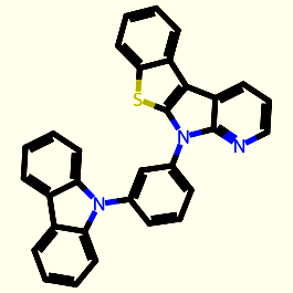 c1cc(-n2c3ccccc3c3ccccc32)cc(-n2c3ncccc3c3c4ccccc4sc32)c1